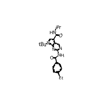 CCc1ccc(C(=O)Nc2ncc3c(C(=O)NC(C)C)cn(C(C)(C)C)c3n2)cc1